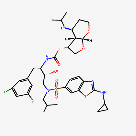 CC(C)CN(C[C@@H](O)[C@H](Cc1cc(F)cc(F)c1)NC(=O)O[C@H]1CO[C@H]2OCC[C@H](NC(C)C)[C@H]21)S(=O)(=O)c1ccc2nc(NC3CC3)sc2c1